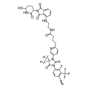 CC1(C)C(=O)N(c2ccc(C#N)c(C(F)(F)F)c2F)C(=S)N1c1ccc(CCCC(=O)NCCNc2cccc3c2C(=O)N(C2CCC(O)NC2=O)C3=O)nc1